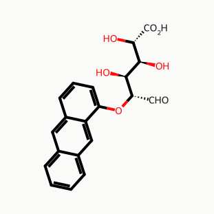 O=C[C@H](Oc1cccc2cc3ccccc3cc12)[C@@H](O)[C@H](O)[C@H](O)C(=O)O